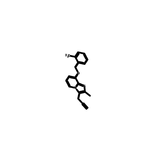 C#CCc1c(C)nc2c(OCc3ccccc3C(F)(F)F)cccn12